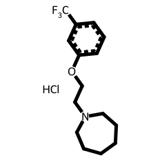 Cl.FC(F)(F)c1cccc(OCCN2CCCCCC2)c1